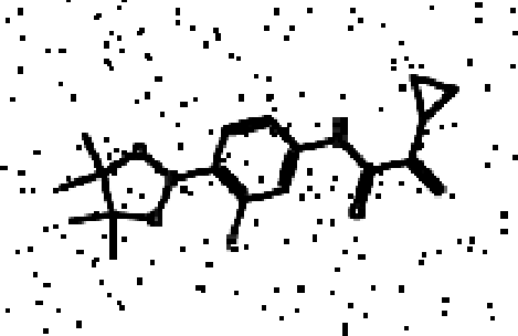 C=C(C(=O)Nc1ccc(B2OC(C)(C)C(C)(C)O2)c(F)c1)C1CC1